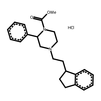 COC(=O)N1CCN(CCC2CCc3ccccc32)CC1c1ccccc1.Cl